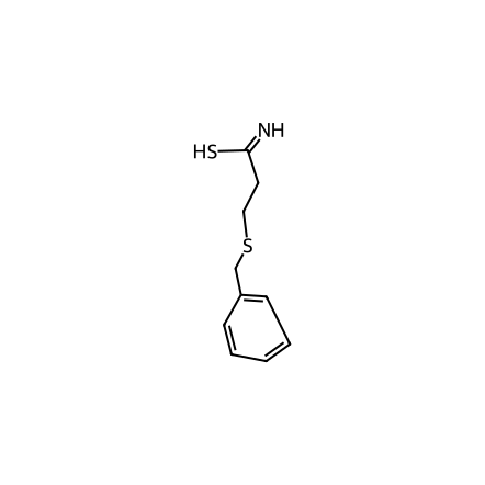 N=C(S)CCSCc1ccccc1